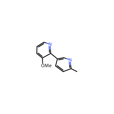 COc1cccnc1-c1ccc(C)nc1